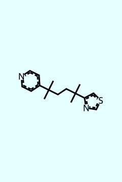 CC(C)(CCC(C)(C)c1cscn1)c1ccncc1